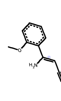 COc1ccccc1/C(N)=C/C#N